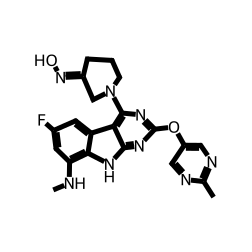 CNc1cc(F)cc2c1[nH]c1nc(Oc3cnc(C)nc3)nc(N3CCC/C(=N\O)C3)c12